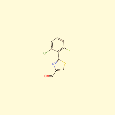 O=Cc1csc(-c2c(F)cccc2Cl)n1